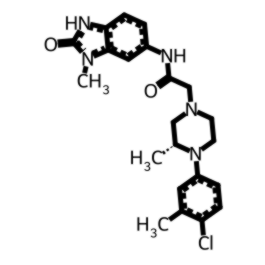 Cc1cc(N2CCN(CC(=O)Nc3ccc4[nH]c(=O)n(C)c4c3)C[C@H]2C)ccc1Cl